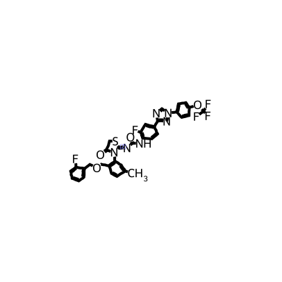 Cc1ccc(COCc2ccccc2F)c(N2C(=O)CS/C2=N\C(=O)Nc2ccc(-c3ncn(-c4ccc(OC(F)(F)F)cc4)n3)cc2F)c1